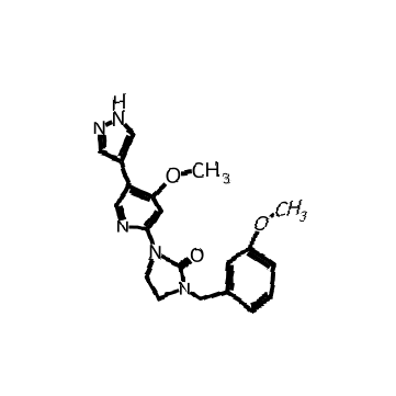 COc1cccc(CN2CCN(c3cc(OC)c(-c4cn[nH]c4)cn3)C2=O)c1